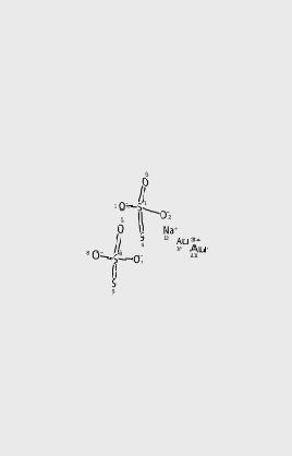 O=S([O-])([O-])=S.O=S([O-])([O-])=S.[Au+3].[Au].[Na+]